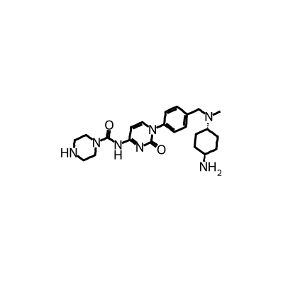 CN(Cc1ccc(-n2ccc(NC(=O)N3CCNCC3)nc2=O)cc1)[C@H]1CC[C@H](N)CC1